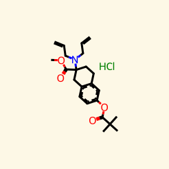 C=CCN(CC=C)C1(C(=O)OC)CCc2cc(OC(=O)C(C)(C)C)ccc2C1.Cl